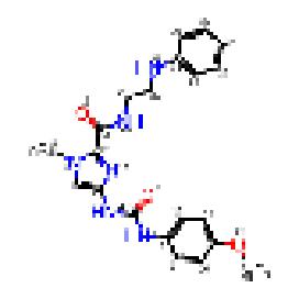 CCCCn1cc(NC(=O)Nc2ccc(OC(F)(F)F)cc2)nc1C(=O)NCCNc1ccccc1